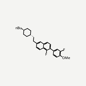 CCCC[C@H]1CC[C@H](CCc2ccc3c(F)c(-c4ccc(OC)c(F)c4)ccc3c2)CC1